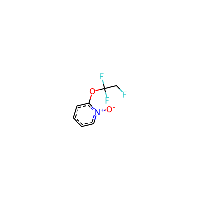 [O-][n+]1ccccc1OC(F)(F)CF